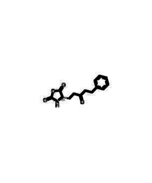 O=C(CCc1ccccc1)CC[C@@H]1NC(=O)OC1=O